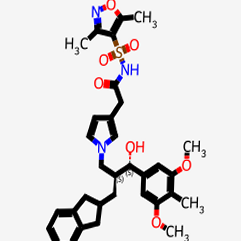 COc1cc([C@@H](O)[C@@H](CC2Cc3ccccc3C2)Cn2ccc(CC(=O)NS(=O)(=O)c3c(C)noc3C)c2)cc(OC)c1C